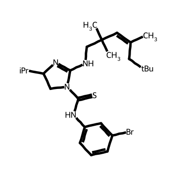 CC(=CC(C)(C)CNC1=NC(C(C)C)CN1C(=S)Nc1cccc(Br)c1)CC(C)(C)C